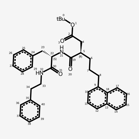 CC(C)(C)OC(=O)C[C@@H](CCCc1cccc2ccccc12)C(=O)N[C@@H](Cc1ccccc1)C(=O)NCCc1ccccc1